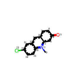 Cn1c2cc(=O)ccc-2cc2cc(Cl)ccc21